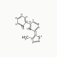 Cc1ccsc1-c1cccc(-c2ccccn2)n1